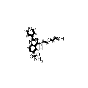 NS(=O)(=O)c1ccc2nc(-c3ccncc3)nc(NCCOCCO)c2c1